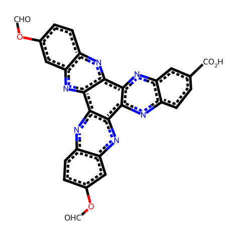 O=COc1ccc2nc3c4nc5cc(OC=O)ccc5nc4c4nc5cc(C(=O)O)ccc5nc4c3nc2c1